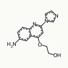 Nc1ccc2nc(-n3ccnc3)cc(OCCO)c2c1